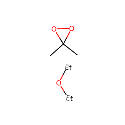 CC1(C)OO1.CCOCC